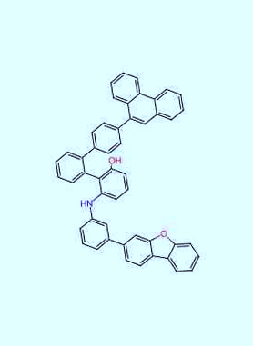 Oc1cccc(Nc2cccc(-c3ccc4c(c3)oc3ccccc34)c2)c1-c1ccccc1-c1ccc(-c2cc3ccccc3c3ccccc23)cc1